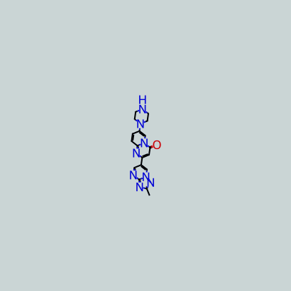 Cc1nc2ncc(-c3cc(=O)n4cc(N5CCNCC5)ccc4n3)cn2n1